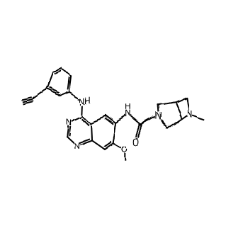 C#Cc1cccc(Nc2ncnc3cc(OC)c(NC(=O)N4CC5CN(C)C5C4)cc23)c1